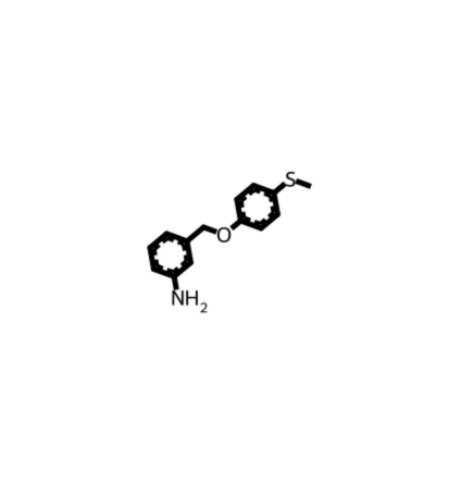 CSc1ccc(OCc2cccc(N)c2)cc1